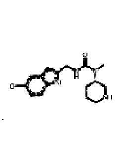 CN(C(=O)NCc1cc2cc(Cl)ccc2[nH]1)[C@@H]1CCCNC1